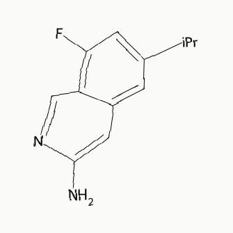 CC(C)c1cc(F)c2cnc(N)cc2c1